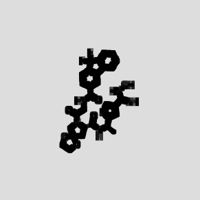 C[C@@H](NC(=O)[C@@H]1CC2(CN1C(=O)CNC(=O)c1ccc3c(c1)-c1ccccc1C3(F)F)OCCO2)c1cc(C(=N)NO)cs1